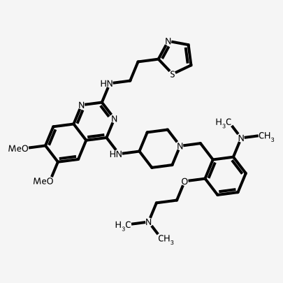 COc1cc2nc(NCCc3nccs3)nc(NC3CCN(Cc4c(OCCN(C)C)cccc4N(C)C)CC3)c2cc1OC